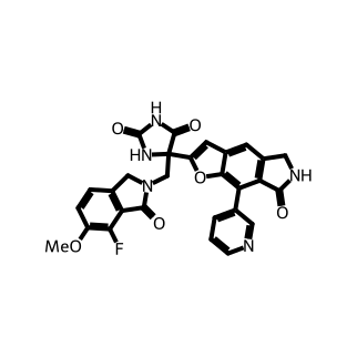 COc1ccc2c(c1F)C(=O)N(CC1(c3cc4cc5c(c(-c6cccnc6)c4o3)C(=O)NC5)NC(=O)NC1=O)C2